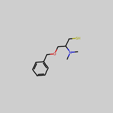 CN(C)C(CS)COCc1ccccc1